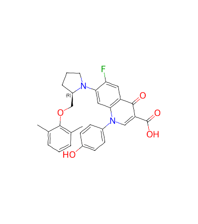 Cc1cccc(C)c1OC[C@H]1CCCN1c1cc2c(cc1F)c(=O)c(C(=O)O)cn2-c1ccc(O)cc1